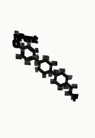 CCCCCOc1ccc(C2CCC(C3CCC(/C=C/F)CC3)CC2)cc1